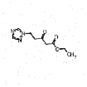 CCOC(=O)CC(=O)CCn1cncn1